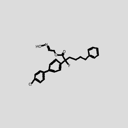 O=C(OCC=NO)C(F)(CCCCc1ccccc1)c1ccc(-c2ccc(Cl)cc2)cc1